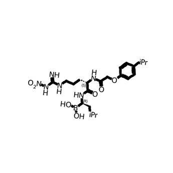 CC(C)C[C@H](NC(=O)[C@H](CCCNC(=N)N[N+](=O)[O-])NC(=O)COc1ccc(C(C)C)cc1)B(O)O